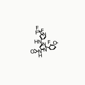 COc1cccc(-c2nc(Nc3ccnc(C(F)(F)F)c3)cc(NC3COC3)n2)c1F